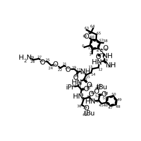 Cc1c(C)c(S(=O)(=O)NC(=N)NCCCC(NC(=O)COCCOCCOCCN)C(=O)NC(C(=O)NC(COC(C)(C)C)C(=O)NC(Cc2ccccc2)C(=O)OC(C)(C)C)C(C)C)c(C)c2c1OC(C)(C)C2